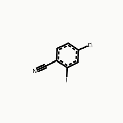 N#Cc1ccc(Cl)cc1I